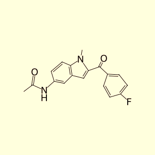 CC(=O)Nc1ccc2c(c1)cc(C(=O)c1ccc(F)cc1)n2C